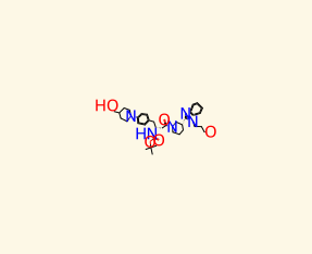 COCCCn1c([C@@H]2CCCN(C(=O)C[C@@H](Cc3ccc(N4CCC(CO)CC4)cc3)NC(=O)OC(C)(C)C)C2)nc2ccccc21